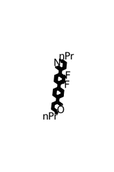 CCCc1ccc(-c2ccc(-c3ccc(C4CCC(CCC)OC4)cc3)c(F)c2F)cn1